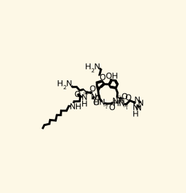 CCCCCCCCCCNCCC(=O)N[C@@H](CCCCN)C(=O)N(C)[C@@H]1C(=O)N[C@@H](C)C(=O)N[C@H](C(=O)N[C@@H](C)C(=O)c2nnn[nH]2)Cc2ccc(O)c(c2)-c2cc1ccc2OCCN